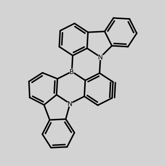 c1cc2c3c(c#1)-n1c4ccccc4c4cccc(c41)B3c1cccc3c4ccccc4n-2c13